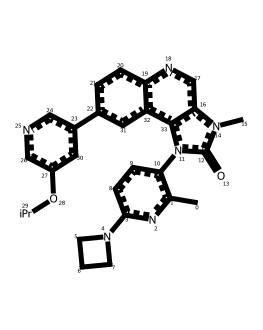 Cc1nc(N2CCC2)ccc1-n1c(=O)n(C)c2cnc3ccc(-c4cncc(OC(C)C)c4)cc3c21